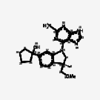 COC[C@]1(C)CN(c2nc(N)nc3[nH]cnc23)c2cc(C3(O)CCCC3)ccc21